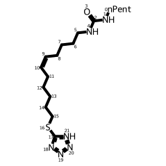 CCCCCNC(=O)NCCCC/C=C\CCCCCSc1nnn[nH]1